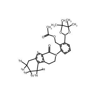 [2H]C1([2H])Cc2sc3c(c2C([2H])([2H])C1([2H])[2H])CCN(c1cccc(B2OC(C)(C)C(C)(C)O2)c1COC(C)=O)C3=O